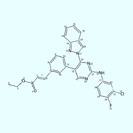 CCOC(=O)/C=C/c1cccc(-c2cnc(Nc3ccc(F)c(Cl)c3)nc2-n2cc3ccccc3n2)c1